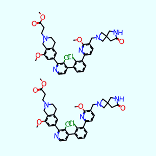 COC(=O)CCN1CCc2cc(-c3nccc(-c4cccc(-c5ccc(CN6CC7(CNC(=O)C7)C6)c(OC)n5)c4Cl)c3Cl)cc(OC)c2C1.COC(=O)CCN1CCc2cc(-c3nccc(-c4cccc(-c5ccc(CN6CC7(CNC(=O)C7)C6)c(OC)n5)c4Cl)c3Cl)cc(OC)c2C1